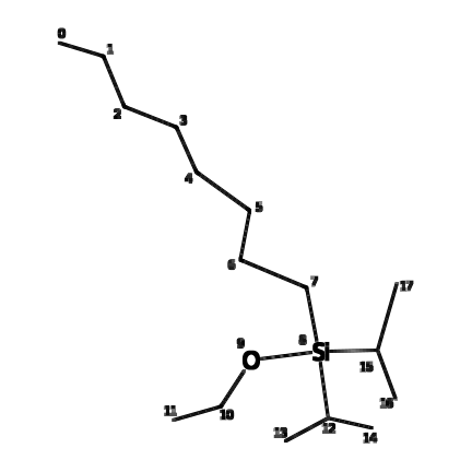 CCCCCCCC[Si](OCC)(C(C)C)C(C)C